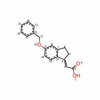 O=C(O)C=C1CCc2cc(OCc3ccccc3)ccc21